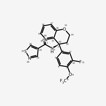 O=C(N[C@]1(c2ccc(OC(F)(F)F)c(F)c2)CCOc2cccnc21)c1cnsc1